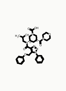 CC(C)CN(C(=O)c1nnn(-c2ccccc2)c1COc1ccccc1)[C@H]1C[C@@H](C(=O)N2CCOCC2)CN(C(=O)O)C1